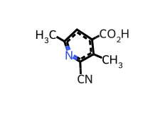 Cc1cc(C(=O)O)c(C)c(C#N)n1